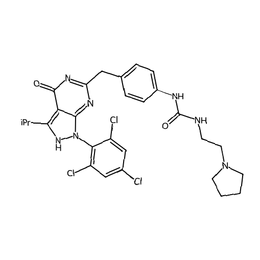 CC(C)c1[nH]n(-c2c(Cl)cc(Cl)cc2Cl)c2nc(Cc3ccc(NC(=O)NCCN4CCCC4)cc3)nc(=O)c1-2